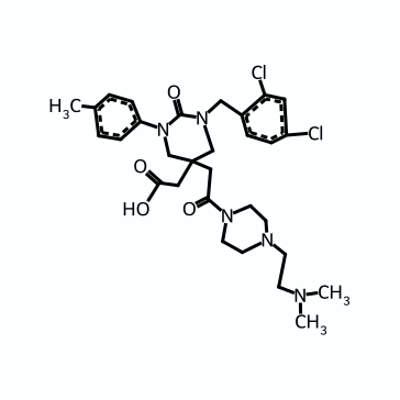 Cc1ccc(N2CC(CC(=O)O)(CC(=O)N3CCN(CCN(C)C)CC3)CN(Cc3ccc(Cl)cc3Cl)C2=O)cc1